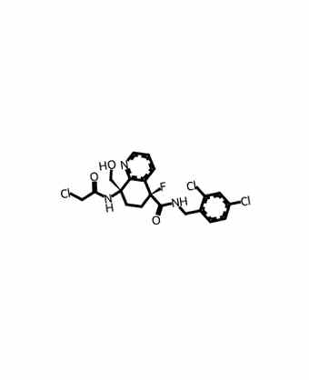 O=C(CCl)N[C@@]1(CO)CC[C@@](F)(C(=O)NCc2ccc(Cl)cc2Cl)c2cccnc21